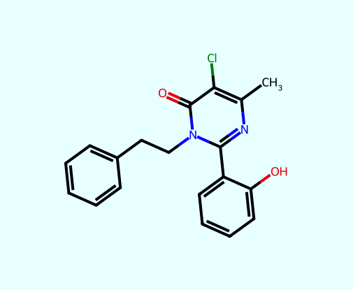 Cc1nc(-c2ccccc2O)n(CCc2ccccc2)c(=O)c1Cl